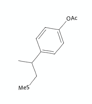 CSCC(C)c1ccc(OC(C)=O)cc1